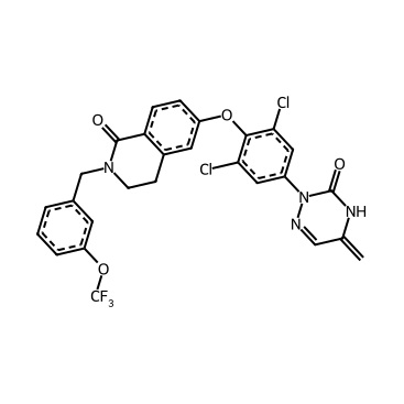 C=C1C=NN(c2cc(Cl)c(Oc3ccc4c(c3)CCN(Cc3cccc(OC(F)(F)F)c3)C4=O)c(Cl)c2)C(=O)N1